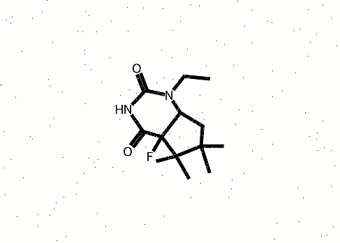 CCN1C(=O)NC(=O)C2(F)C1CC(C)(C)C2(C)C